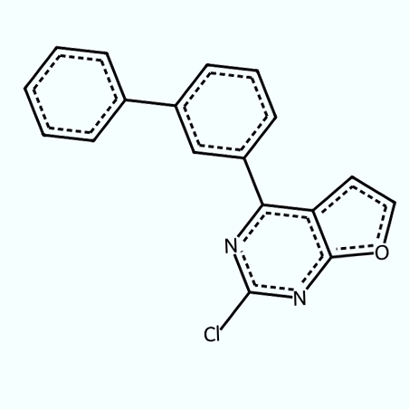 Clc1nc(-c2cccc(-c3ccccc3)c2)c2ccoc2n1